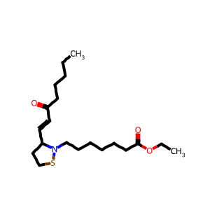 CCCCCC(=O)C=CC1CCSN1CCCCCCC(=O)OCC